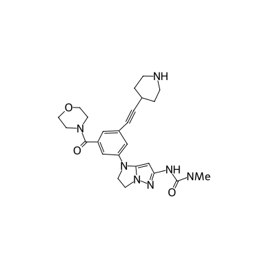 CNC(=O)Nc1cc2n(n1)CCN2c1cc(C#CC2CCNCC2)cc(C(=O)N2CCOCC2)c1